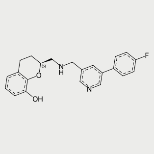 Oc1cccc2c1O[C@H](CNCc1cncc(-c3ccc(F)cc3)c1)CC2